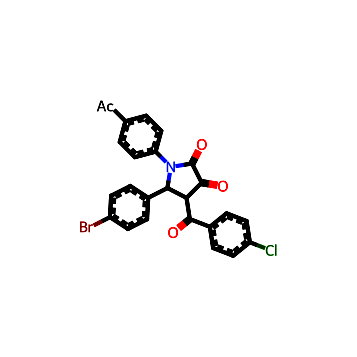 CC(=O)c1ccc(N2C(=O)C(=O)C(C(=O)c3ccc(Cl)cc3)C2c2ccc(Br)cc2)cc1